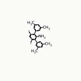 Cc1cc(C)cc(-c2c(I)cc(I)c(-c3cc(C)cc(C)c3)c2N)c1